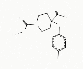 CC(C)(C)OC(=O)N1CCC(Oc2ccc(F)cc2)(C(N)=O)CC1